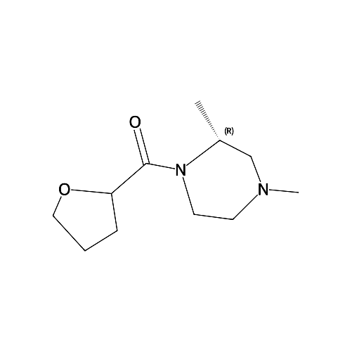 C[C@@H]1CN(C)CCN1C(=O)C1CCCO1